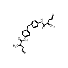 C=C(CC=O)C(=O)Nc1ccc(Cc2ccc(NC(=O)C(=C)CC=O)cc2)cc1